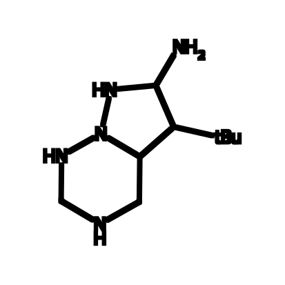 CC(C)(C)C1C(N)NN2NCNCC12